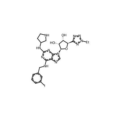 CCn1nnc([C@H]2O[C@@H](n3cnc4c(NCc5cccc(I)c5)nc(NC5CCNC5)nc43)[C@H](O)[C@@H]2O)n1